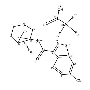 N#Cc1ccc2c(C(=O)N[C@@H]3CN4CCC3CC4)nsc2c1.O=C(O)C(F)(F)F